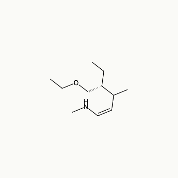 CCOC[C@H](CC)C(C)/C=C\NC